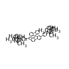 CC1=NC(C)(C)C(C)(C)N1c1ccc(-c2ccc3c(c2)C2(c4ccccc4-c4ccccc42)c2c-3ccc3cc(-c4ccc(N5C(C)=NC(C)(C)C5(C)C)cc4)ccc23)cc1